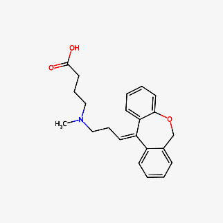 CN(CC/C=C1/c2ccccc2COc2ccccc21)CCCC(=O)O